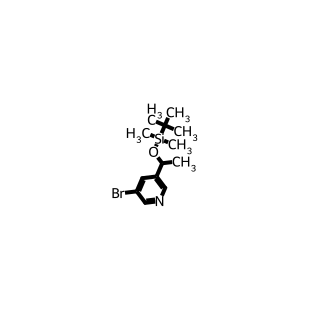 CC(O[Si](C)(C)C(C)(C)C)c1cncc(Br)c1